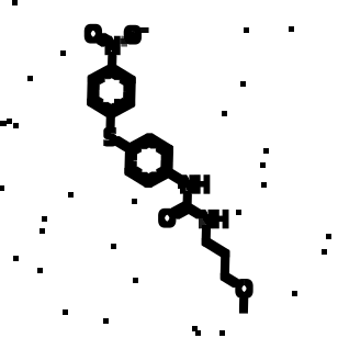 COCCCNC(=O)Nc1ccc(Sc2ccc([N+](=O)[O-])cc2)cc1